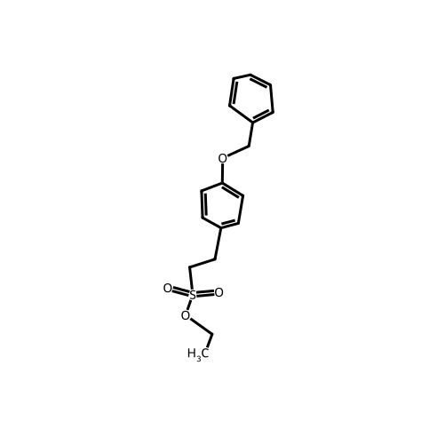 CCOS(=O)(=O)CCc1ccc(OCc2ccccc2)cc1